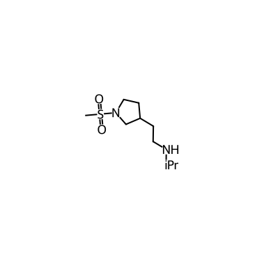 CC(C)NCCC1CCN(S(C)(=O)=O)C1